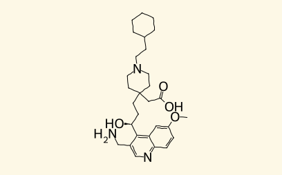 COc1ccc2ncc(CN)c([C@@H](O)CCC3(CC(=O)O)CCN(CCC4CCCCC4)CC3)c2c1